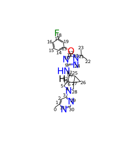 Cc1cc(N2C[C@H]3[C@H](Nc4nc(Oc5cccc(F)c5)n(C(C)C)n4)C4CC43C2)ncn1